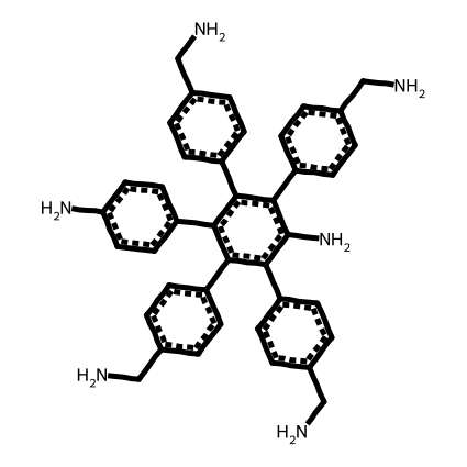 NCc1ccc(-c2c(N)c(-c3ccc(CN)cc3)c(-c3ccc(CN)cc3)c(-c3ccc(N)cc3)c2-c2ccc(CN)cc2)cc1